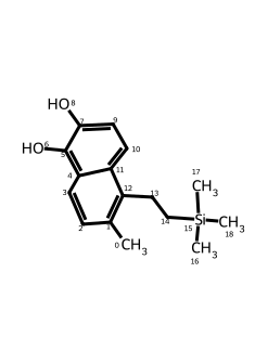 Cc1ccc2c(O)c(O)ccc2c1CC[Si](C)(C)C